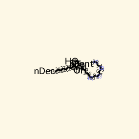 CCCCC/C=C\C/C=C\C/C=C\C/C=C\CCCCOC(CO)C(O)C(=O)CCCCCCCCCCCCCCCCC